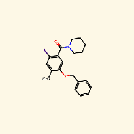 COc1cc(I)c(C(=O)N2CCCCC2)cc1OCc1ccccc1